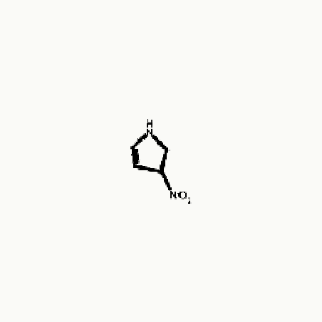 O=[N+]([O-])C1[CH]NC=C1